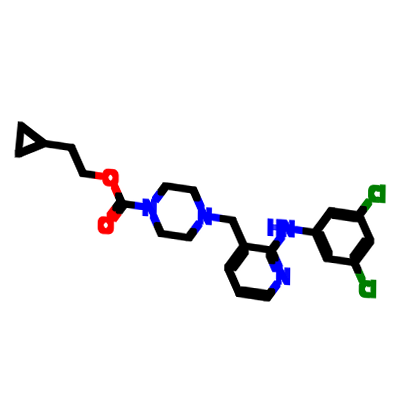 O=C(OCCC1CC1)N1CCN(Cc2cccnc2Nc2cc(Cl)cc(Cl)c2)CC1